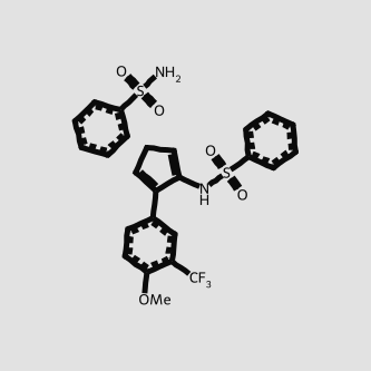 COc1ccc(C2=CCC=C2NS(=O)(=O)c2ccccc2)cc1C(F)(F)F.NS(=O)(=O)c1ccccc1